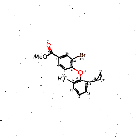 COC(=O)c1ccc(Oc2c(C)cccc2C2CC2)c(Br)c1